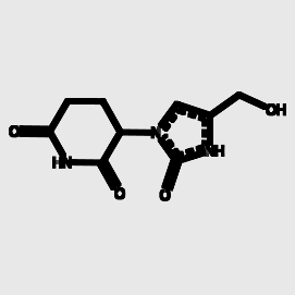 O=C1CCC(n2cc(CO)[nH]c2=O)C(=O)N1